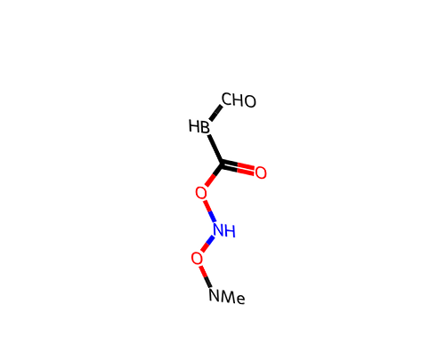 CNONOC(=O)BC=O